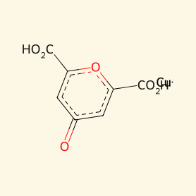 O=C(O)c1cc(=O)cc(C(=O)O)o1.[Cu]